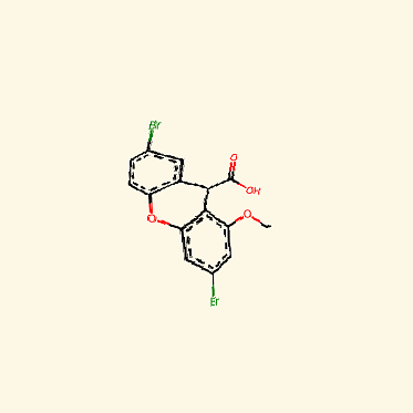 COc1cc(Br)cc2c1C(C(=O)O)c1cc(Br)ccc1O2